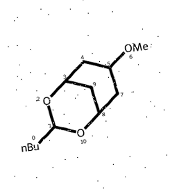 CCCCC1OC2CC(OC)CC(C2)O1